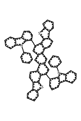 c1ccc(-n2c3ccccc3c3cccc(-c4cc5cc6c(cc(-c7cccc8c9ccccc9n(-c9ccccc9)c78)c7c6ccc6c8ccccc8sc67)cc5c5ccc6c7ccccc7sc6c45)c32)cc1